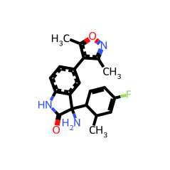 Cc1noc(C)c1-c1ccc2c(c1)C(N)(C1C=CC(F)=CC1C)C(=O)N2